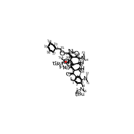 Cc1cc(CN(C)CC(C)(C)C)c(N(C)C)c2c1C(=O)C1=C(O)[C@]3(O[Si](C)(C)C(C)(C)C)C(=O)c4c(OCc5ccccc5)noc4[C@@H](N(C)C)[C@@H]3C[C@@H]1C2